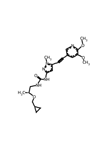 COc1cc(C#Cc2cc(NC(=O)NC[C@H](C)OCC3CC3)nn2C)cnc1OC